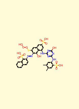 Cc1cc(Nc2nc(O)nc(Nc3cc(S(=O)(=O)O)cc4cc(SOOO)c(/N=N/c5ccc6ccccc6c5S(=O)(=O)O)c(O)c34)n2)c(S(=O)(=O)O)cc1C